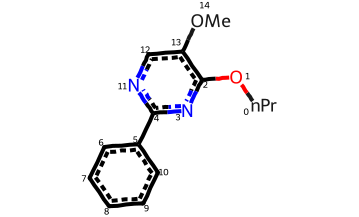 CCCOc1nc(-c2ccccc2)ncc1OC